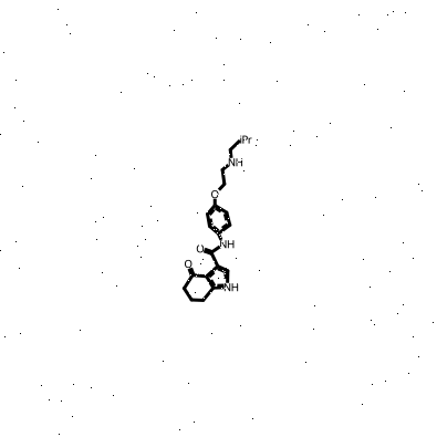 CC(C)CNCCOc1ccc(NC(=O)c2c[nH]c3c2C(=O)CCC3)cc1